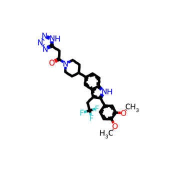 COc1ccc(-c2[nH]c3ccc(C4CCN(C(=O)Cc5nnn[nH]5)CC4)cc3c2CC(F)(F)F)cc1OC